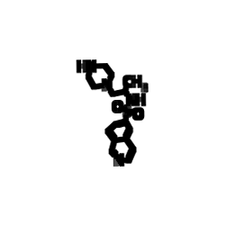 CC(CN1CCNCC1)NS(=O)(=O)c1ccc2cnccc2c1